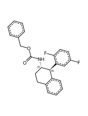 O=C(N[C@H]1CCc2ccccc2[C@@H]1c1cc(F)ccc1F)OCc1ccccc1